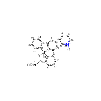 CCCCCCCCCCCC[B-](c1ccccc1)(c1ccccc1)c1ccccc1.C[n+]1ccccc1